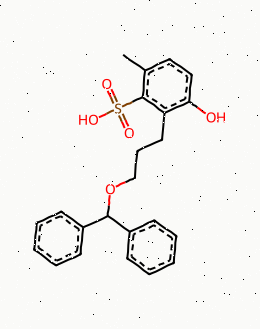 Cc1ccc(O)c(CCCOC(c2ccccc2)c2ccccc2)c1S(=O)(=O)O